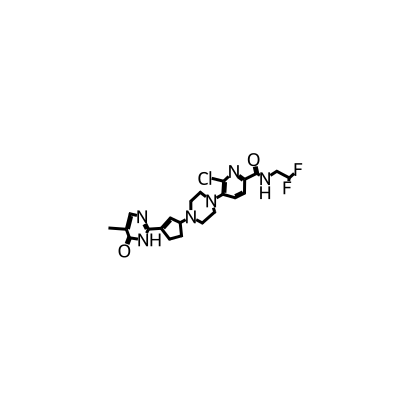 Cc1cnc(C2=CC(N3CCN(c4ccc(C(=O)NCC(F)F)nc4Cl)CC3)CC2)[nH]c1=O